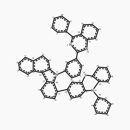 c1ccc(-c2nc(-c3cccc(-n4c5ccc6ccccc6c5c5cccc(-c6ccc7c(c6)Sc6ccccc6N7c6ccccc6)c54)c3)nc3ccccc23)cc1